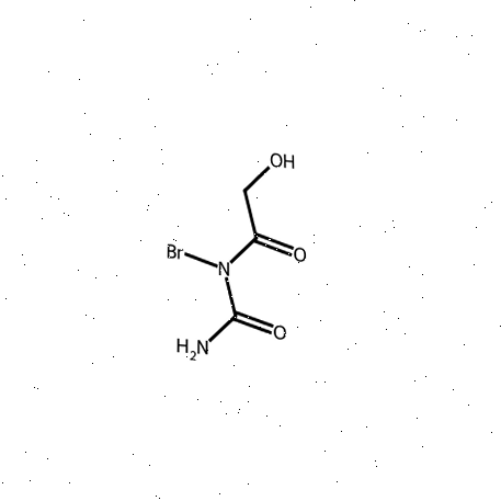 NC(=O)N(Br)C(=O)CO